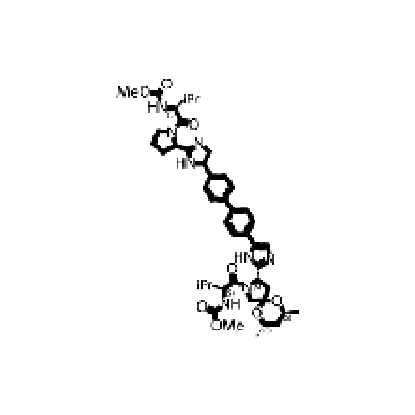 COC(=O)N[C@H](C(=O)N1CCCC1C1=NCC(c2ccc(-c3ccc(-c4cnc([C@@H]5CC6(CN5C(=O)[C@@H](NC(=O)OC)C(C)C)O[C@@H](C)C[C@H](C)O6)[nH]4)cc3)cc2)N1)C(C)C